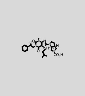 CC(C)=CCn1c(N2CC[C@H]3CN(C(=O)O)C[C@H]32)nc2c1c(=O)n(CC(=O)c1ccccc1)c(=O)n2C